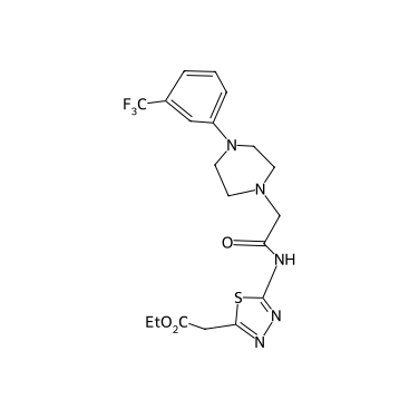 CCOC(=O)Cc1nnc(NC(=O)CN2CCN(c3cccc(C(F)(F)F)c3)CC2)s1